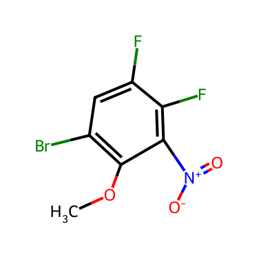 COc1c(Br)cc(F)c(F)c1[N+](=O)[O-]